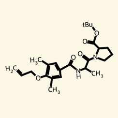 C=CCOc1c(C)cc(C(=O)NC(C)C(=O)N2CCCC2C(=O)OC(C)(C)C)cc1C